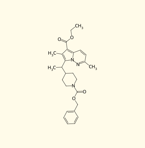 CCOC(=O)c1c(C)c(C(C)C2CCN(C(=O)OCc3ccccc3)CC2)n2nc(C)ccc12